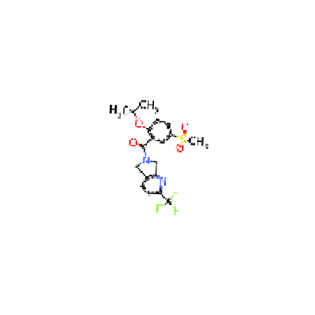 CC(C)Oc1ccc(S(C)(=O)=O)cc1C(=O)N1Cc2ccc(C(F)(F)F)nc2C1